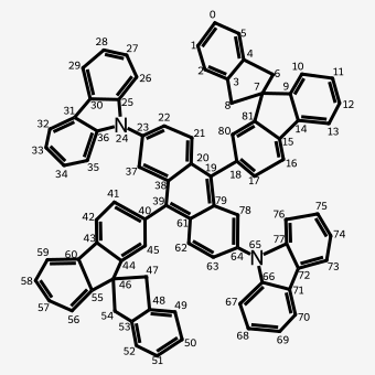 c1ccc2c(c1)CC1(C2)c2ccccc2-c2ccc(-c3c4ccc(-n5c6ccccc6c6ccccc65)cc4c(-c4ccc5c(c4)C4(Cc6ccccc6C4)c4ccccc4-5)c4ccc(-n5c6ccccc6c6ccccc65)cc34)cc21